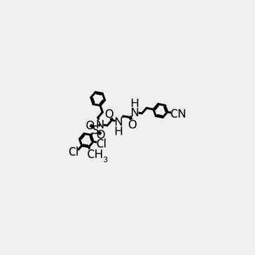 Cc1c(Cl)ccc(S(=O)(=O)N(CCc2ccccc2)CC(=O)NCC(=O)NCCc2ccc(C#N)cc2)c1Cl